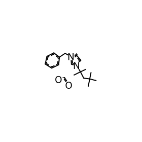 CC(C)(C)CC(C)(C)n1cc[n+](Cc2ccccc2)c1.O=C[O-]